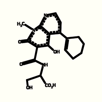 Cn1c(=O)c(C(=O)NC(CO)C(=O)O)c(O)c2c(C3=CCCCC3)ccnc21